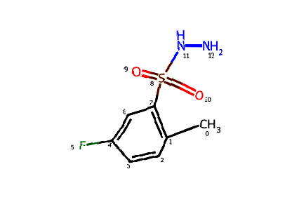 Cc1ccc(F)cc1S(=O)(=O)NN